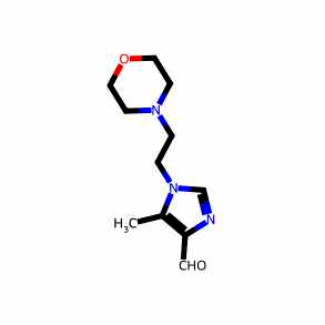 Cc1c(C=O)ncn1CCN1CCOCC1